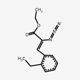 CCOC(=O)/C(=C/c1ccccc1CC)N=[N+]=[N-]